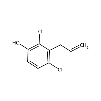 C=CCc1c(Cl)ccc(O)c1Cl